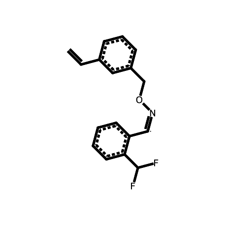 C=Cc1cccc(CO/N=[C]\c2ccccc2C(F)F)c1